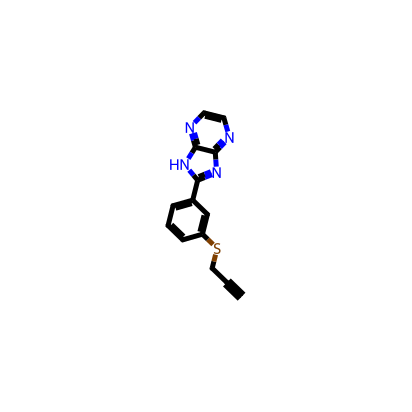 C#CCSc1cccc(-c2nc3nccnc3[nH]2)c1